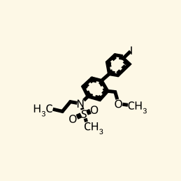 CCCN(c1ccc(-c2ccc(I)cc2)c(COC)c1)S(C)(=O)=O